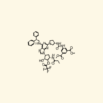 CCC(=O)N[C@H]1C[C@@H](n2cnc3c(NCC(c4ccccc4)c4ccccc4)nc(N4CC[C@@H](NC(=O)Nc5cc(C(=O)OC)cc(C(=O)OC)c5)C4)nc32)[C@H](O)[C@@H]1OC(=O)C(F)(F)F